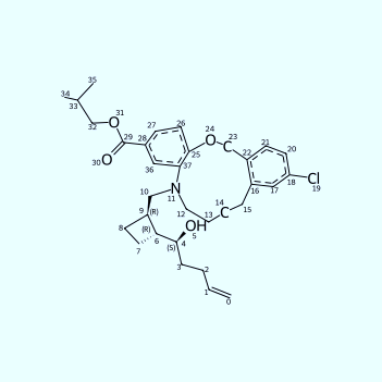 C=CCC[C@H](O)[C@@H]1CC[C@H]1CN1CCCCc2cc(Cl)ccc2COc2ccc(C(=O)OCC(C)C)cc21